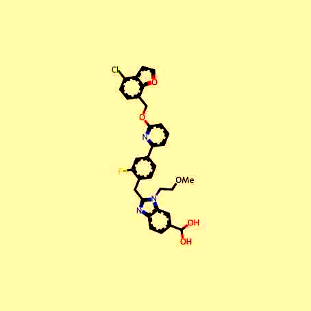 COCCn1c(Cc2ccc(-c3cccc(OCc4ccc(Cl)c5ccoc45)n3)cc2F)nc2ccc(C(O)O)cc21